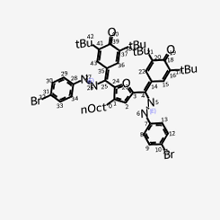 CCCCCCCCc1cc(C(/N=N/c2ccc(Br)cc2)=C2C=C(C(C)(C)C)C(=O)C(C(C)(C)C)=C2)oc1C(/N=N/c1ccc(Br)cc1)=C1C=C(C(C)(C)C)C(=O)C(C(C)(C)C)=C1